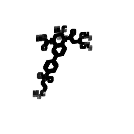 CCCS(=O)(=O)c1ccc(-c2ccc3c(c2)N(C(=O)O)C[C@H](C)N3C(=O)CC(C)C)cc1